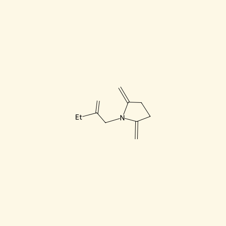 C=C(CC)CN1C(=C)CCC1=C